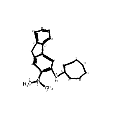 CN(C)c1cc2c(cc1NC1CCCCCC1)-c1ccccc1C2